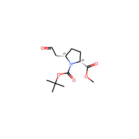 COC(=O)[C@H]1CC[C@@H](CC=O)N1C(=O)OC(C)(C)C